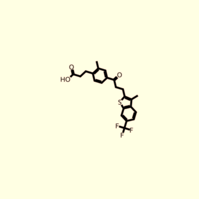 Cc1cc(C(=O)CCc2sc3cc(C(F)(F)F)ccc3c2C)ccc1CCC(=O)O